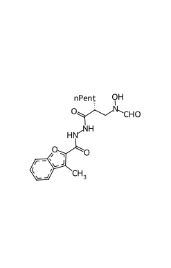 CCCCC[C@H](CN(O)C=O)C(=O)NNC(=O)c1oc2ccccc2c1C